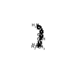 CC(C)(N)C(=O)N1CCN(C(=O)Nc2ccn(C3=CCC(CN4CCCC(N)CC4)CC3)c(=O)n2)CC1